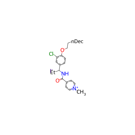 CCCCCCCCCCCCOc1ccc(C(CC)NC(=O)c2cc[n+](C)cc2)cc1Cl.[I-]